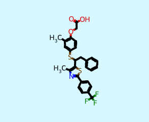 Cc1cc(SC(Cc2ccccc2)c2sc(-c3ccc(C(F)(F)F)cc3)nc2C)ccc1OCC(=O)O